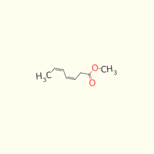 C/C=C\C=C/CC(=O)OC